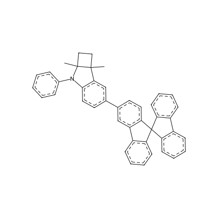 CC12CCC1(C)N(c1ccccc1)c1ccc(-c3ccc4c(c3)-c3ccccc3C43c4ccccc4-c4ccccc43)cc12